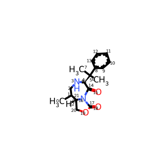 CC1CN[C@@H](C(C)(C)c2ccccc2)C(=O)N2C(=O)OC[C@H]12